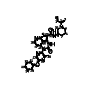 C=CC(=C)N1CCC[C@@H](NC(=O)c2sc3nccc4c3c2NC(=O)N4c2ncc(Oc3ccccc3)nc2C)C1